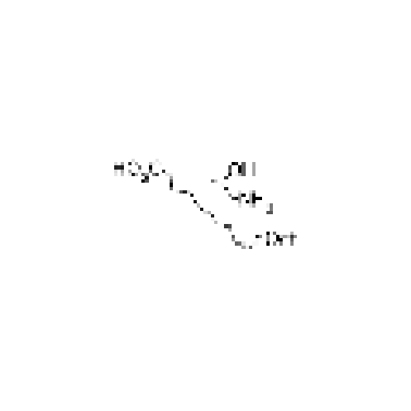 CC(O)CN.CCCCCCCC/C=C\CCCCCCCC(=O)O